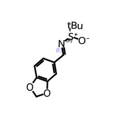 CC(C)(C)[S@+]([O-])/N=C/c1ccc2c(c1)OCO2